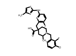 Cc1csc(Nc2ccc(F)c(CC3(C(=O)O)CCN(Cc4cccc(Cl)c4F)C(C)C3)n2)n1